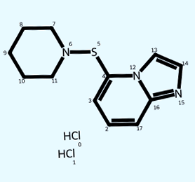 Cl.Cl.c1cc(SN2CCCCC2)n2ccnc2c1